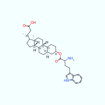 C[C@H](CC(=O)O)C1CC[C@H]2[C@@H]3CC[C@@H]4C[C@H](OC(=O)C(N)CCc5c[nH]c6ccccc56)CC[C@]4(C)[C@H]3CC[C@]12C